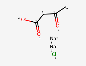 CC(=O)CC(=O)[O-].[Cl-].[Na+].[Na+]